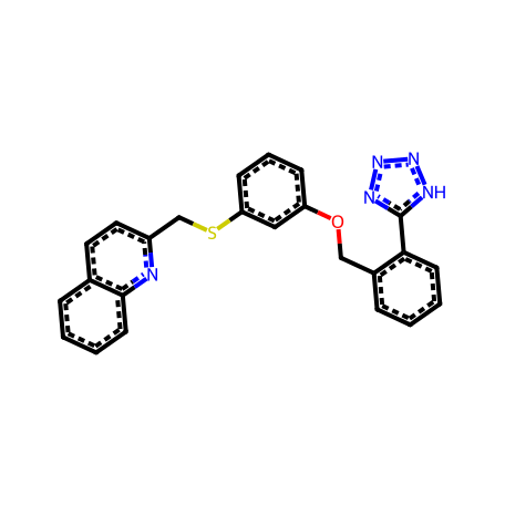 c1cc(OCc2ccccc2-c2nnn[nH]2)cc(SCc2ccc3ccccc3n2)c1